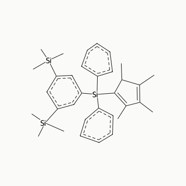 CC1=C(C)C(C)C([Si](c2ccccc2)(c2ccccc2)c2cc([Si](C)(C)C)cc([Si](C)(C)C)c2)=C1C